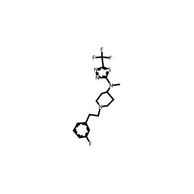 CN(c1nnc(C(F)(F)F)s1)C1CCN(CCc2cccc(F)c2)CC1